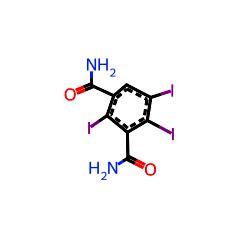 NC(=O)c1cc(I)c(I)c(C(N)=O)c1I